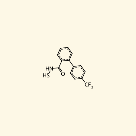 O=C(NS)c1ccccc1-c1ccc(C(F)(F)F)cc1